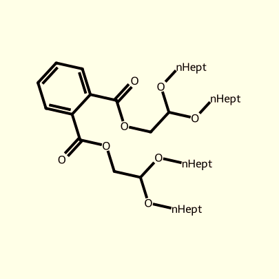 CCCCCCCOC(COC(=O)c1ccccc1C(=O)OCC(OCCCCCCC)OCCCCCCC)OCCCCCCC